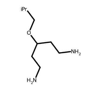 CC(C)COC(CCN)CCN